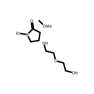 CCN1CCCC1=O.COC.OCCOCCO